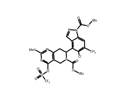 CSc1nc2c(c(OS(=O)(=O)C(F)(F)F)n1)CN(C(=O)OC(C)(C)C)C(c1c(Cl)c(C)cc3c1cnn3C(=O)OC(C)(C)C)C2